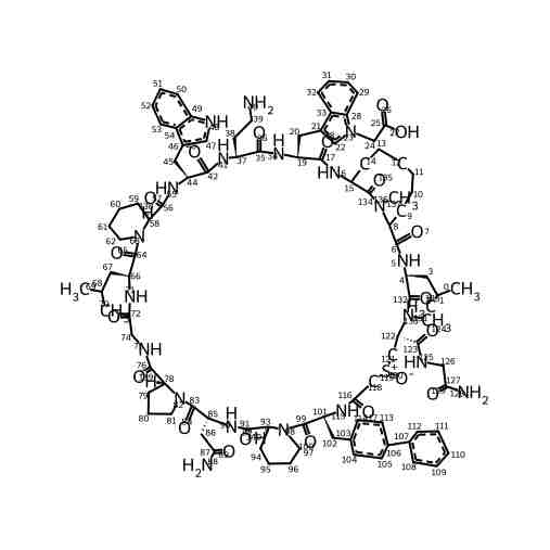 CC(C)C[C@@H]1NC(=O)C2CCCCCCC(NC(=O)[C@H](Cc3cn(CC(=O)O)c4ccccc34)NC(=O)[C@H](CCN)NC(=O)[C@H](Cc3c[nH]c4ccccc34)NC(=O)[C@@H]3CCCCN3C(=O)[C@H](CC(C)C)NC(=O)CNC(=O)[C@H]3CCCN3C(=O)[C@@H](CC(N)=O)NC(=O)[C@@H]3CCCCN3C(=O)[C@H](Cc3ccc(-c4ccccc4)cc3)NC(=O)C[S+]([O-])C[C@@H](C(=O)NCC(N)=O)N(C)C1=O)C(=O)N2C